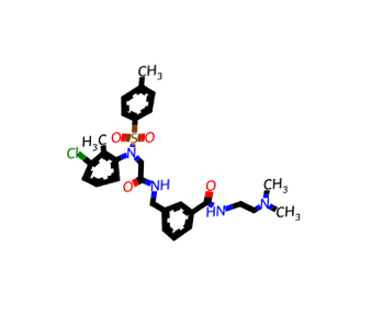 Cc1ccc(S(=O)(=O)N(CC(=O)NCc2cccc(C(=O)NCCN(C)C)c2)c2cccc(Cl)c2C)cc1